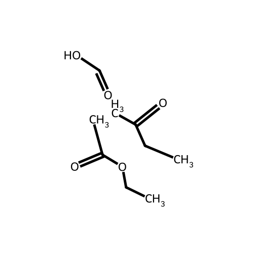 CCC(C)=O.CCOC(C)=O.O=CO